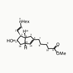 CCCCCCC=C[C@H]1[C@@H]2CC(CCCCC(=O)OC)=C[C@@H]2C[C@@H]1O